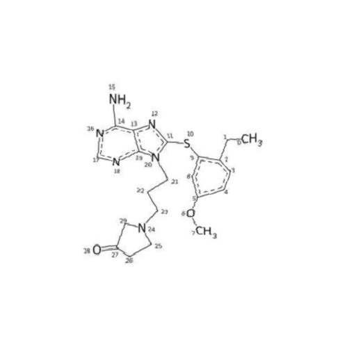 CCc1ccc(OC)cc1Sc1nc2c(N)ncnc2n1CCCN1CCC(=O)C1